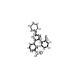 C[S+]([O-])c1nccc(-c2sc(N3CCCCC3)nc2-c2ccccc2F)n1